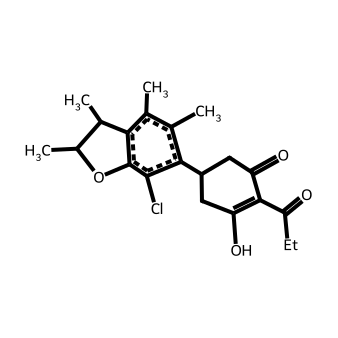 CCC(=O)C1=C(O)CC(c2c(C)c(C)c3c(c2Cl)OC(C)C3C)CC1=O